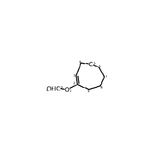 O=CO/C1=C/CCCCCC1